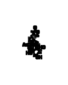 CC(=O)O[C@]12CC[C@H](C3=CC(=O)OC3)[C@@]1(C)CC[C@H]1[C@H]2CC[C@]2(O)C[C@@H](O)CC[C@]12C=O